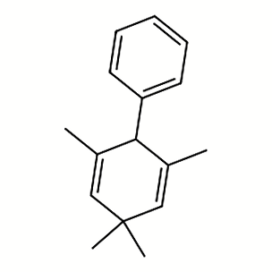 CC1=CC(C)(C)C=C(C)C1c1ccccc1